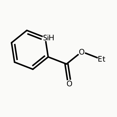 CCOC(=O)c1cccc[siH]1